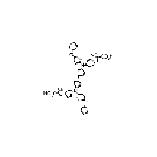 N#C/C(=C\c1ccc(N(C2=CCC(OC3=CC=CCC3)C=C2)c2ccc(-c3ccc(N(C4=CCC(/C=C(\C#N)C(=O)O)C=C4)c4ccc(OC5=CC=CCC5)cc4)cc3)cc2)cc1)C(=O)O